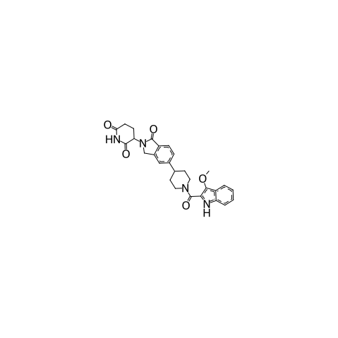 COc1c(C(=O)N2CCC(c3ccc4c(c3)CN(C3CCC(=O)NC3=O)C4=O)CC2)[nH]c2ccccc12